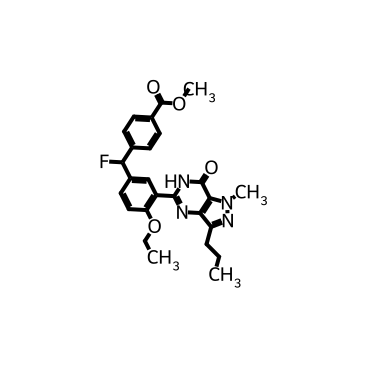 CCCc1nn(C)c2c(=O)[nH]c(-c3cc(C(F)c4ccc(C(=O)OC)cc4)ccc3OCC)nc12